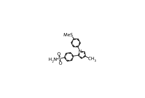 CSc1ccc(-n2cc(C)cc2-c2ccc(S(N)(=O)=O)cc2)cc1